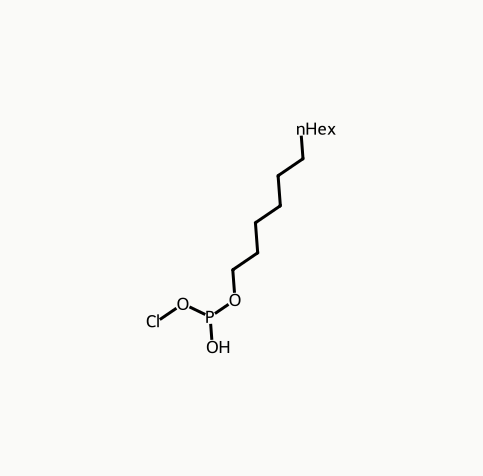 CCCCCCCCCCCCOP(O)OCl